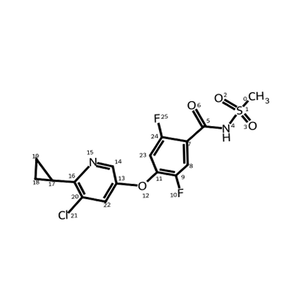 CS(=O)(=O)NC(=O)c1cc(F)c(Oc2cnc(C3CC3)c(Cl)c2)cc1F